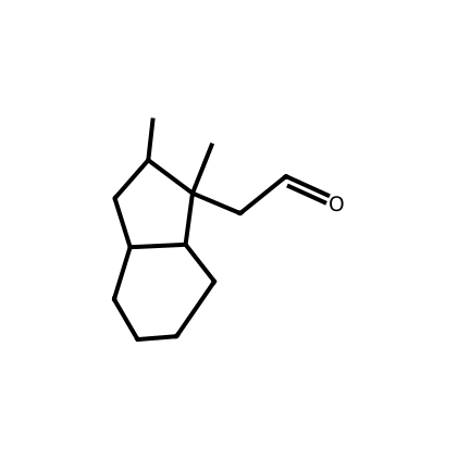 CC1CC2CCCCC2C1(C)CC=O